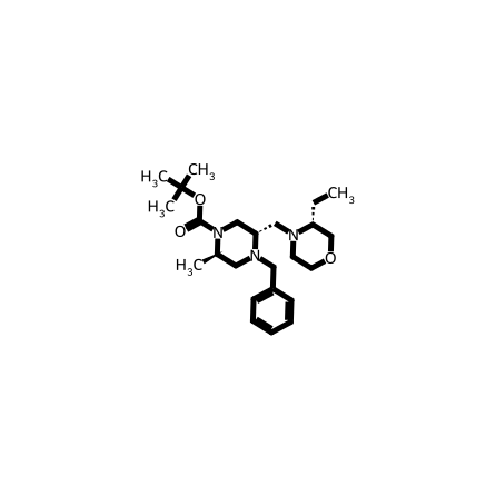 CC[C@@H]1COCCN1C[C@H]1CN(C(=O)OC(C)(C)C)[C@H](C)CN1Cc1ccccc1